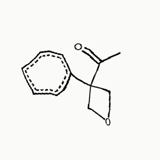 CC(=O)C1(c2ccccc2)COC1